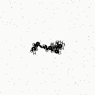 COc1cc(C(=O)N2CCO[C@@H](CC#Cc3cccc4c3CN(C3CCC(=O)NC3=O)C4=O)C2)ccc1NC(=O)[C@@H]1N[C@@H](CC(C)(C)C)[C@@]2(CNc3cc(Cl)ccc32)[C@H]1c1cccc(Cl)c1F